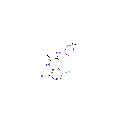 C[C@H](Nc1cc(Cl)ccc1N)C(=O)NC(=O)OC(C)(C)C